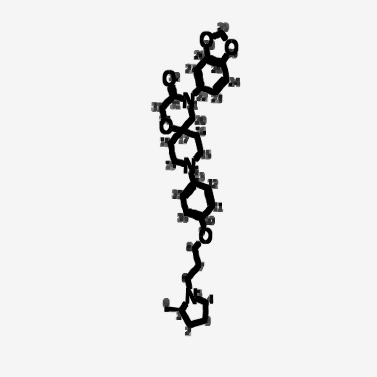 C[C@@H]1CCCN1CCCOc1ccc(N2CCC3(CC2)CN(c2ccc4c(c2)OCO4)C(=O)CO3)cc1